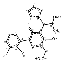 CO[C@@H](C)C(n1ccnc1)n1c(=O)c(-c2cccc(F)c2Cl)cn(CC(=O)O)c1=O